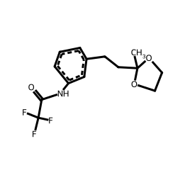 CC1(CCc2cccc(NC(=O)C(F)(F)F)c2)OCCO1